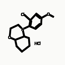 COc1ccc(N2CCOC3CCCCC32)c(Cl)c1.Cl